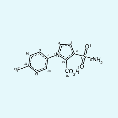 NS(=O)(=O)c1ccn(-c2ccc(F)cc2)c1C(=O)O